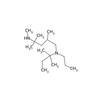 CCCN(CC(C)CC(C)(C)NC)C(C)(C)CC